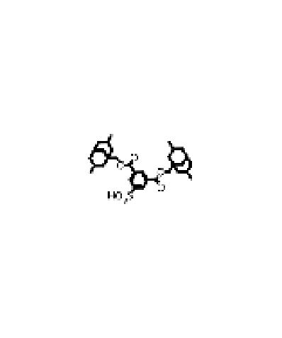 CC1CC2CC(C)CC(COC(=O)c3cc(C(=O)OCC45CC(C)CC(CC(C)C4)C5)cc(S(=O)(=O)O)c3)(C1)C2